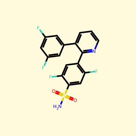 NS(=O)(=O)c1cc(F)c(-c2ncccc2-c2cc(F)cc(F)c2)cc1F